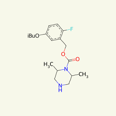 CC(C)COc1ccc(F)c(COC(=O)N2C(C)CNCC2C)c1